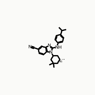 CC(C)c1ccc(Nc2nc3cc(C#N)ccc3n2C2C[C@H](C)CC(C)(C)C2)cc1